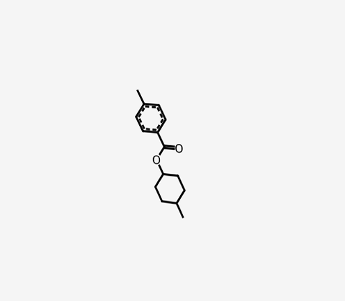 Cc1ccc(C(=O)OC2CCC(C)CC2)cc1